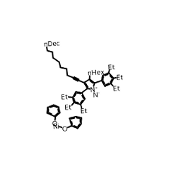 CCCCCCCCCCCCCCCCCC#CC1=C(c2cc(CC)c(CC)c(CC)c2)[N+](=[N-])C(c2cc(CC)c(CC)c(CC)c2)=C1CCCCCC.c1ccc([O][Ni][O]c2ccccc2)cc1